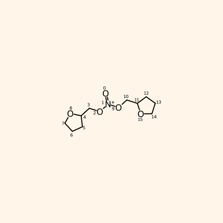 O=[N+](OCC1CCCO1)OCC1CCCO1